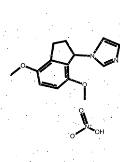 COc1ccc(OC)c2c1CCC2n1ccnc1.O=[N+]([O-])O